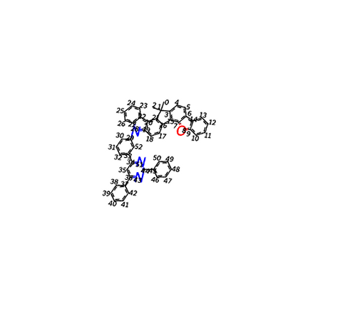 CC1(C)c2ccc3c(oc4ccccc43)c2-c2ccc3c(c21)c1ccccc1n3-c1cccc(-c2cc(-c3ccccc3)nc(-c3ccccc3)n2)c1